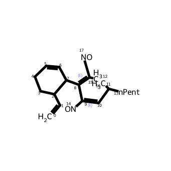 C=CC1CCC=CC1C(/C(=C\C(C)CCCCC)N=O)=C(/C)N=O